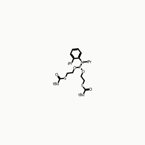 CC(C)c1ccccc1N(C(C)C)P(OCCSC(=O)C(C)(C)C)OCCSC(=O)C(C)(C)C